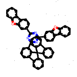 c1ccc2c(c1)-c1ccccc1C21c2ccccc2-c2cccc(-c3nc(-c4ccc5c(c4)oc4ccccc45)nc(-c4ccc5c(c4)oc4ccccc45)n3)c21